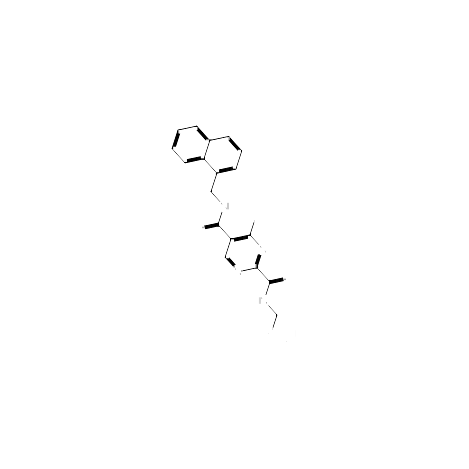 O=C(O)CNC(=O)c1ncc(C(=O)NCc2cccc3ccccc23)c(O)n1